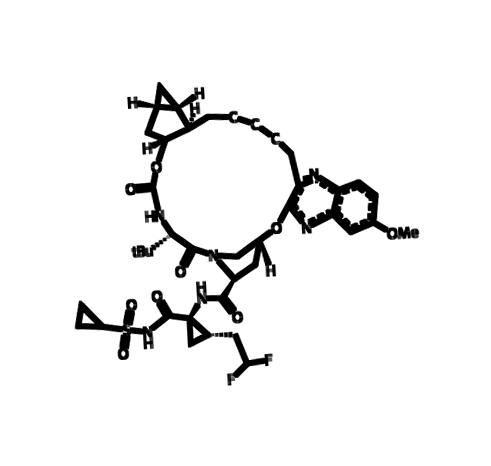 COc1ccc2nc3c(nc2c1)O[C@@H]1C[C@@H](C(=O)N[C@]2(C(=O)NS(=O)(=O)C4CC4)C[C@H]2CC(F)F)N(C1)C(=O)[C@H](C(C)(C)C)NC(=O)O[C@@H]1C[C@@H]2C[C@@H]2[C@H]1CCCCC3